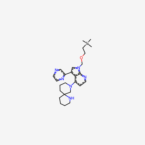 C[Si](C)(C)CCOCn1cc(-c2cnccn2)c2c(N3CCCC4(CCCCN4)C3)ccnc21